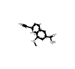 COc1cc(C(=O)O)cc2ccc(C#N)nc12